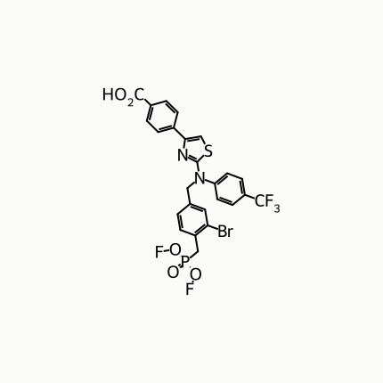 O=C(O)c1ccc(-c2csc(N(Cc3ccc(CP(=O)(OF)OF)c(Br)c3)c3ccc(C(F)(F)F)cc3)n2)cc1